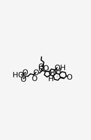 CCCC(=O)O[C@]1(C(=O)COC(=O)CCS(=O)(=O)O)CC[C@H]2[C@@H]3CCC4=CC(=O)CC[C@]4(C)[C@H]3C(O)C[C@@]21C